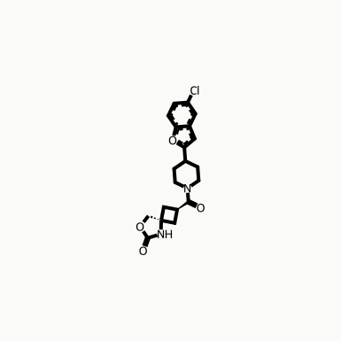 O=C1N[C@]2(CO1)C[C@H](C(=O)N1CCC(c3cc4cc(Cl)ccc4o3)CC1)C2